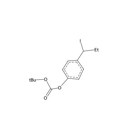 CCC(I)c1ccc(OC(=O)OC(C)(C)C)cc1